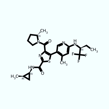 CC[C@H](Nc1cc(C)c(-c2sc(C(=O)N[C@H]3C[C@H]3C)nc2C(=O)N2CCC[C@@H]2C)cn1)C(F)(F)F